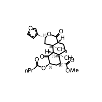 CCCC(=O)O[C@@H]1C[C@@H](C(=O)OC)[C@]2(C)CC[C@H]3C(=O)O[C@@H](c4ccoc4)C[C@]3(C)[C@H]2C1=O